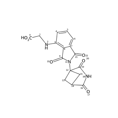 O=C(O)CNc1cccc2c1C(=O)N(C13CC(C1)C(=O)NC3=O)C2=O